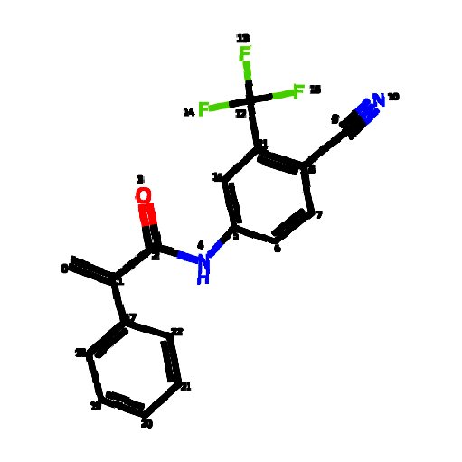 C=C(C(=O)Nc1ccc(C#N)c(C(F)(F)F)c1)c1ccccc1